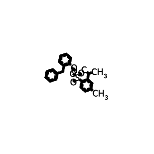 Cc1ccc(S(=O)(=O)OOc2ccccc2Cc2ccccc2)c(C(C)C)c1